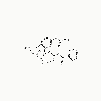 C=CCN1C[C@@H]2CN=C(NC(=O)c3ccccc3)S[C@@]2(c2cc(NC(=O)C(F)(F)F)ccc2F)C1